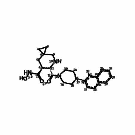 O=C(NO)[C@H]1CC2(CC2)CN[C@@H]1C(=O)N1CCN(c2ccc3ccccc3n2)CC1